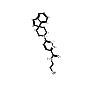 O=C(NCCO)c1ccc(N2CCC3(C=Cc4ccccc43)CC2)nn1